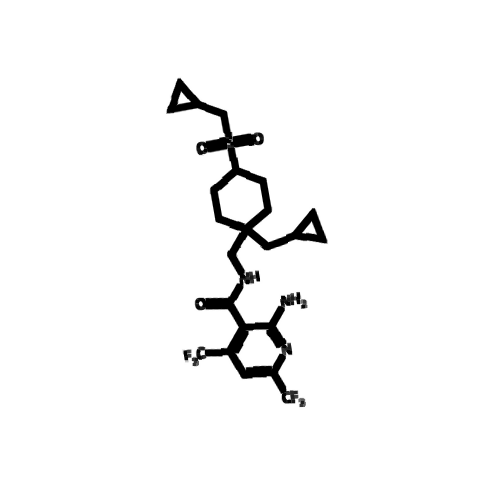 Nc1nc(C(F)(F)F)cc(C(F)(F)F)c1C(=O)NCC1(CC2CC2)CCC(S(=O)(=O)CC2CC2)CC1